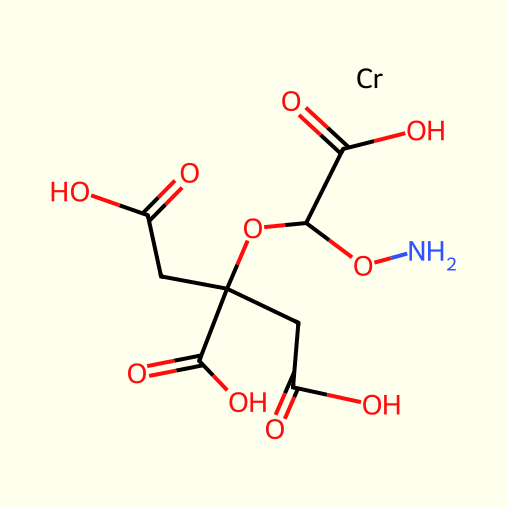 NOC(OC(CC(=O)O)(CC(=O)O)C(=O)O)C(=O)O.[Cr]